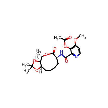 COc1ccnc(C(=O)N[C@H]2CCCC[C@@H]3OC(C)(C)O[C@H]3[C@H](C)OC2=O)c1OC(C)=O